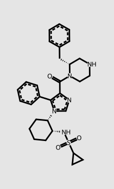 O=C(c1ncn([C@H]2CCCC[C@H]2NS(=O)(=O)C2CC2)c1-c1ccccc1)N1CCNC[C@H]1Cc1ccccc1